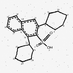 O=S(=O)(O)c1c(C2CCCCC2)cc2ccccc2c1C1CCCCC1